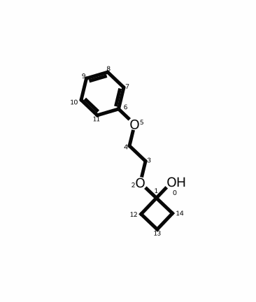 OC1(OCCOc2ccccc2)CCC1